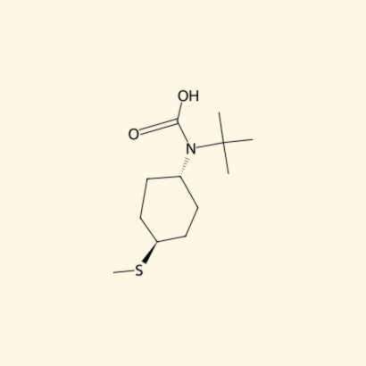 CS[C@H]1CC[C@H](N(C(=O)O)C(C)(C)C)CC1